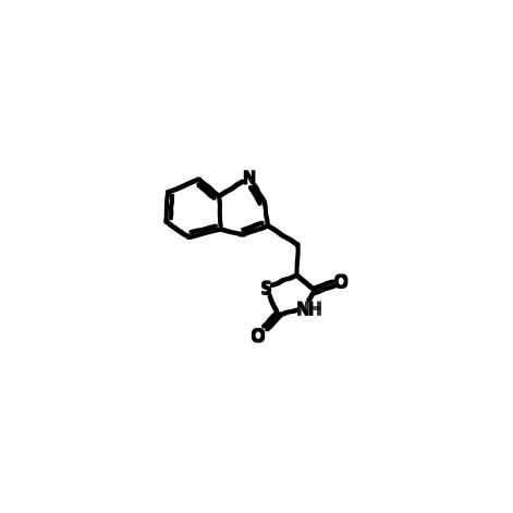 O=C1NC(=O)C(Cc2cnc3ccccc3c2)S1